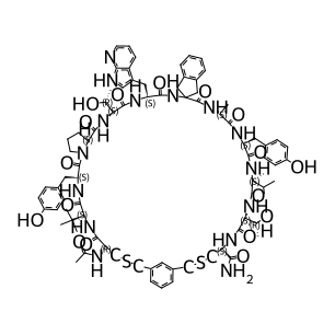 CC(=O)N[C@H]1CSCc2cccc(c2)CSC[C@H](C(N)=O)NC(=O)[C@H]([C@@H](C)O)NC(=O)[C@](C)(C(C)C)NC(=O)[C@H](Cc2ccc(O)cc2)NC(=O)[C@H](C)NC(=O)C2(Cc3ccccc3C2)NC(=O)[C@H](Cc2c[nH]c3ncccc23)NC(=O)[C@H]([C@@H](C)O)NC(=O)[C@@H]2CCCN2C(=O)[C@H](Cc2ccc(O)cc2)NC(=O)[C@H](C(C)(C)C)NC1=O